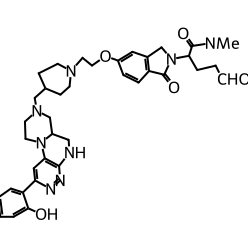 CNC(=O)C(CCC=O)N1Cc2cc(OCCN3CCC(CN4CCN5c6cc(-c7ccccc7O)nnc6NCC5C4)CC3)ccc2C1=O